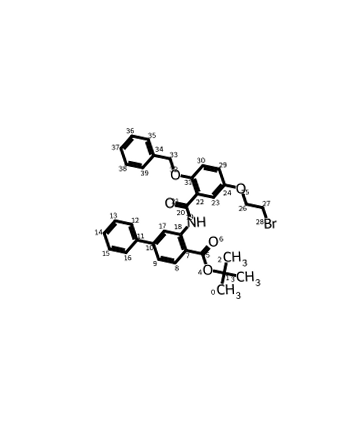 CC(C)(C)OC(=O)c1ccc(-c2ccccc2)cc1NC(=O)c1cc(OCCBr)ccc1OCc1ccccc1